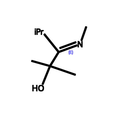 C/N=C(\C(C)C)C(C)(C)O